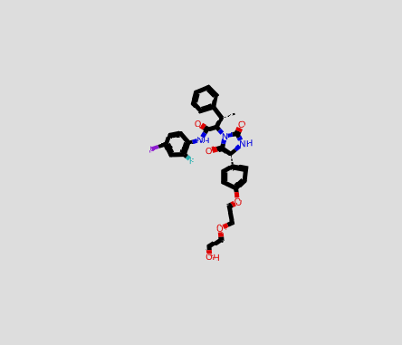 C[C@@H](c1ccccc1)C(C(=O)Nc1ccc(I)cc1F)N1C(=O)N[C@H](c2ccc(OCCOCCO)cc2)C1=O